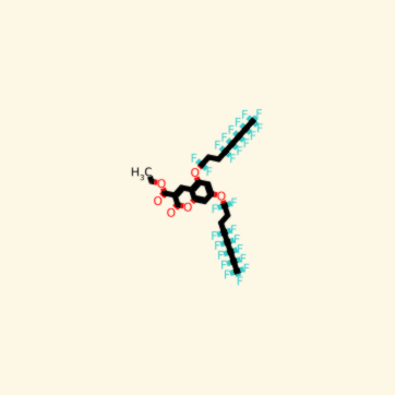 CCOC(=O)c1cc2c(OC(F)(F)CCC(F)(F)C(F)(F)C(F)(F)C(F)(F)C(F)(F)F)cc(OC(F)(F)CCC(F)(F)C(F)(F)C(F)(F)C(F)(F)C(F)(F)F)cc2oc1=O